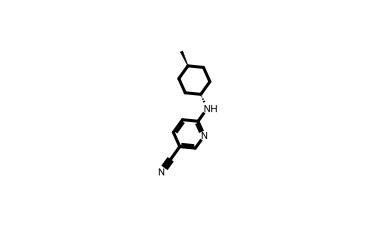 C[C@H]1CC[C@H](Nc2ccc(C#N)cn2)CC1